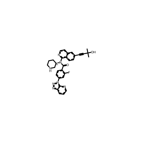 CC(C)(O)C#Cc1ccc2c(N(C(=O)c3ccc(-n4nnc5cccnc54)cc3F)[C@@H]3CCCNC3)nccc2c1